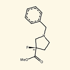 COC(=O)[C@@]1(F)CCN(Cc2ccccc2)C1